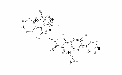 O=C(OCOC(=O)N(C1CCCCCC1)C(P(=O)(O)O)P(=O)(O)O)c1cn(C2CC2)c2cc(N3CCNCC3)c(F)cc2c1=O